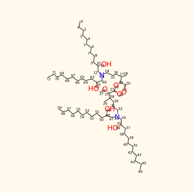 CCCCCCCCCCC(O)CN(CCCC(C)C(C=O)OC(=O)C(OC)C(C)CCCN(CC(O)CCCCCCCCCC)CC(O)CCCCCCCCCC)CC(O)CCCCCCCCCC